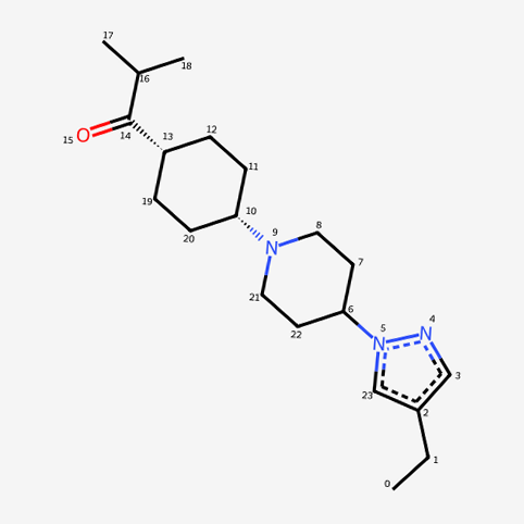 CCc1cnn(C2CCN([C@H]3CC[C@@H](C(=O)C(C)C)CC3)CC2)c1